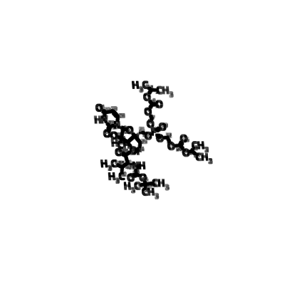 CC(C)OC(=O)OCOP(=O)(OCOC(=O)OC(C)C)OC[C@@]1(CF)O[C@@H](n2ccc(=O)[nH]c2=O)[C@](C)(O)[C@@H]1OC(=O)[C@H](NC(=O)OC(C)(C)C)C(C)C